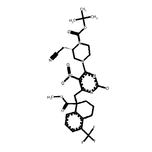 COC(=O)C1(Cc2nc(Cl)nc(N3CCN(C(=O)OC(C)(C)C)[C@@H](CC#N)C3)c2[N+](=O)[O-])CCCc2c(C(F)(F)F)cccc21